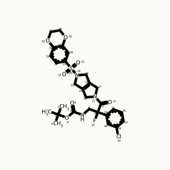 CC(C)(C)OC(=O)NCC(F)(C(=O)N1CC2=C(C1)CN(S(=O)(=O)c1ccc3c(c1)OCCO3)C2)c1cccc(Cl)c1